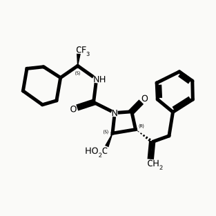 C=C(Cc1ccccc1)[C@H]1C(=O)N(C(=O)N[C@@H](C2CCCCC2)C(F)(F)F)[C@@H]1C(=O)O